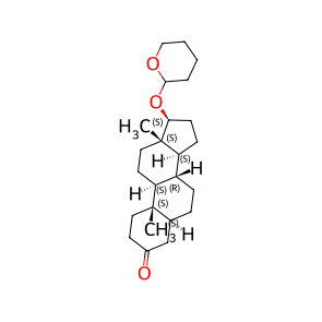 C[C@]12CCC(=O)C[C@@H]1CC[C@@H]1[C@@H]2CC[C@]2(C)[C@@H](OC3CCCCO3)CC[C@@H]12